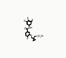 O=C(O)CC1(CSc2cc(C(=O)Nc3cc(F)c(F)c(F)c3)ccc2F)CC1